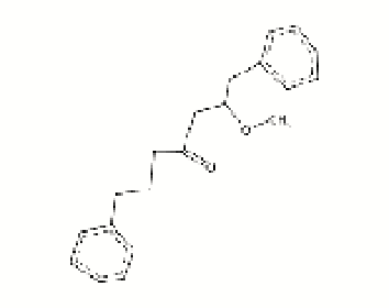 COC(CC(=O)CCCc1ccccc1)Cc1ccccc1